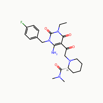 CCn1c(=O)c(C(=O)CN2CCCC[C@@H]2C(=O)N(C)C)c(N)n(Cc2ccc(F)cc2)c1=O